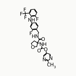 Cc1ncc(OC(=O)N[C@@]2(C(=O)NCc3ccc(Nc4c(F)cccc4C(F)(F)F)cc3F)CCOC2)cn1